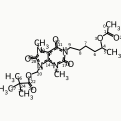 CC(=O)OC(C)CCCCn1c(=O)c2c(n(C)c1=O)n(COC(=O)C(C)(C)C)c(=O)n2C